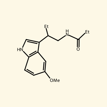 CCC(=O)NCC(CC)c1c[nH]c2ccc(OC)cc12